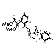 CON=C(C(=O)OC)c1ccccc1CON=C(C)[C@@H]1C[C@H]1c1ccccc1